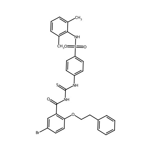 Cc1cccc(C)c1NS(=O)(=O)c1ccc(NC(=S)NC(=O)c2cc(Br)ccc2OCCc2ccccc2)cc1